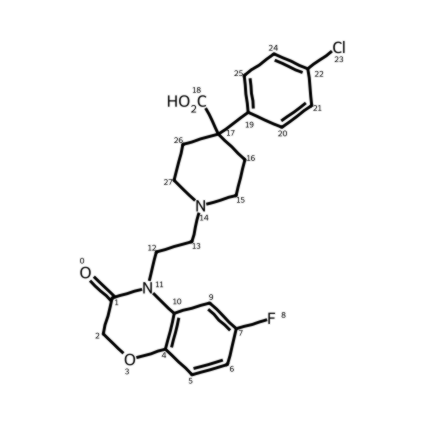 O=C1COc2ccc(F)cc2N1CCN1CCC(C(=O)O)(c2ccc(Cl)cc2)CC1